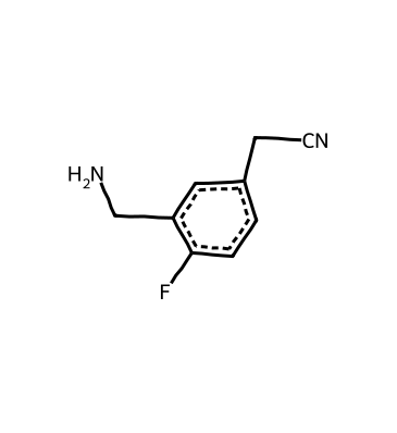 N#CCc1ccc(F)c(CN)c1